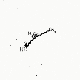 CCCCCCCCCC=C(CCCCCCCC(=O)O)S(C)(=O)=O